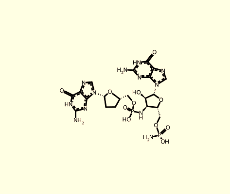 Nc1nc2c(ncn2[C@@H]2O[C@H](COP(N)(=O)O)[C@@H](NP(=O)(O)OC[C@@H]3CC[C@H](n4cnc5c(=O)[nH]c(N)nc54)O3)[C@H]2O)c(=O)[nH]1